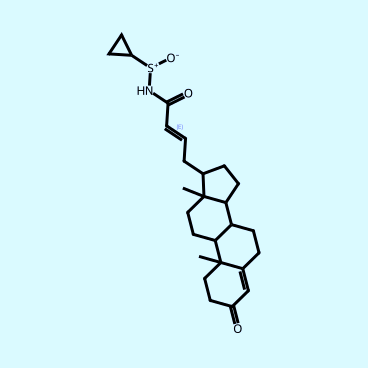 CC12CCC(=O)C=C1CCC1C2CCC2(C)C(C/C=C/C(=O)N[S+]([O-])C3CC3)CCC12